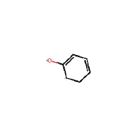 [O]C1=CC=CC[CH]1